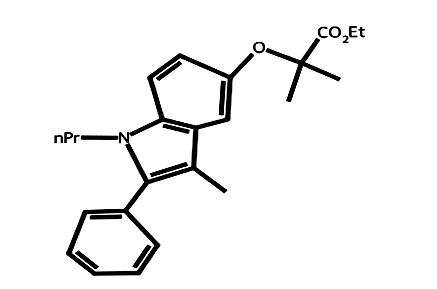 CCCn1c(-c2ccccc2)c(C)c2cc(OC(C)(C)C(=O)OCC)ccc21